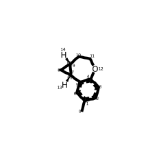 Cc1ccc2c(c1)[C@@H]1C[C@@H]1CCO2